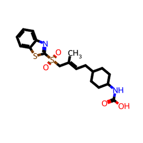 C/C(=C\CC1CCC(NC(=O)O)CC1)CS(=O)(=O)c1nc2ccccc2s1